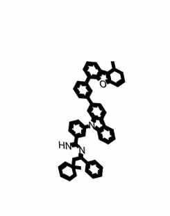 CC1CC=Cc2oc3c(-c4cccc(-c5ccc6c7ccccc7n(-c7cccc(C(=N)/N=C(\CC8(C)C=CC=CC8)c8ccccc8)c7)c6c5)c4)cccc3c21